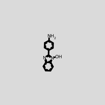 Nc1ccc(-c2nc3ccccc3n2O)cc1